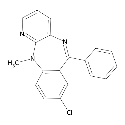 CN1c2ccc(Cl)cc2C(c2ccccc2)=Nc2cccnc21